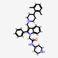 Cc1cccc(C)c1C1CCN(Cc2c(-c3ccccc3)n(CC(=O)NC3CCNCC3)c3ccccc23)CC1